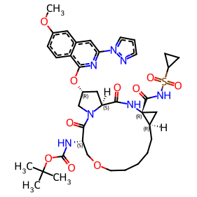 COc1ccc2c(O[C@@H]3C[C@H]4C(=O)N[C@]5(C(=O)NS(=O)(=O)C6CC6)C[C@H]5CCCCCOC[C@H](NC(=O)OC(C)(C)C)C(=O)N4C3)nc(-n3cccn3)cc2c1